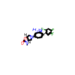 CN1C(=O)O[C@@H]2CN([C@H]3CC[C@H](c4cc(F)c(F)cc4F)C(N)C3)C[C@@H]21